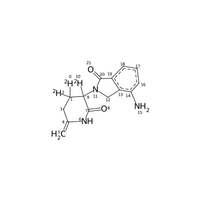 [2H]C1([2H])CC(=C)NC(=O)C1([2H])N1Cc2c(N)cccc2C1=O